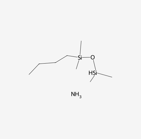 CCCC[Si](C)(C)O[SiH](C)C.N